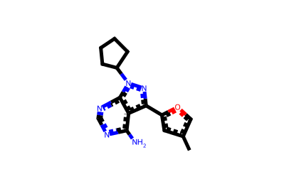 Cc1coc(-c2nn(C3CCCC3)c3ncnc(N)c23)c1